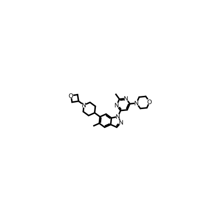 Cc1nc(N2CCOCC2)cc(-n2ncc3cc(C)c(C4CCN(C5COC5)CC4)cc32)n1